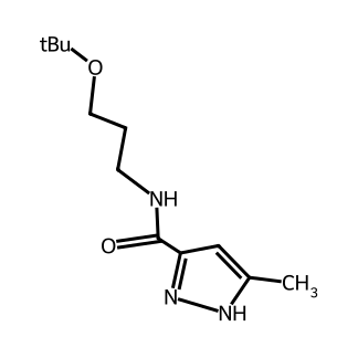 Cc1cc(C(=O)NCCCOC(C)(C)C)n[nH]1